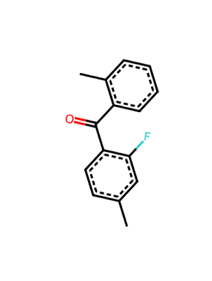 Cc1ccc(C(=O)c2ccccc2C)c(F)c1